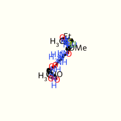 CC[C@@H]1C(=O)N(C)c2cnc(Nc3ccc(C(=O)NC/C(N)=C/N(N)CCNCCOCC(=O)Nc4cccc(C=O)c4CN(C)C4CCC(=O)NC4=O)cc3OC)nc2N1Cc1ccc(Cl)s1